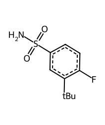 CC(C)(C)c1cc(S(N)(=O)=O)ccc1F